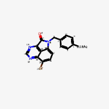 COc1ccc(CN2C(=O)c3ncnc4c(Br)ccc2c34)cc1